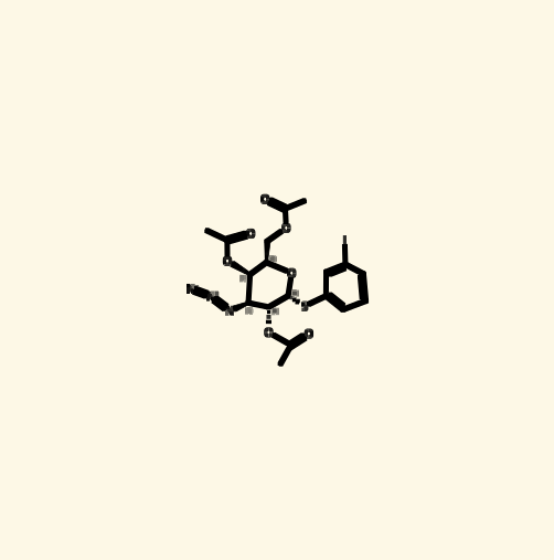 CC(=O)OC[C@H]1O[C@H](Sc2cccc(I)c2)[C@H](OC(C)=O)[C@@H](N=[N+]=[N-])[C@H]1OC(C)=O